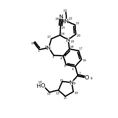 C=CN1Cc2cc(C(=O)N3CCC(CO)C3)ccc2N(/C=C\NC)C(C#N)C1